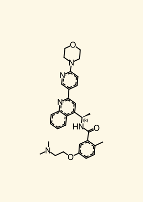 Cc1ccc(OCCN(C)C)cc1C(=O)N[C@H](C)c1cc(-c2ccc(N3CCOCC3)nc2)nc2ccccc12